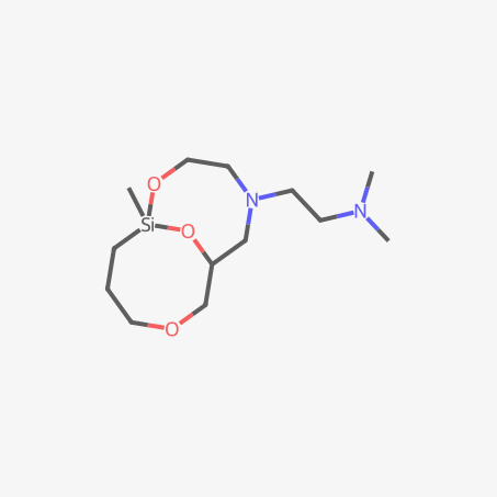 CN(C)CCN1CCO[Si]2(C)CCCOCC(C1)O2